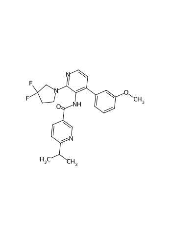 COc1cccc(-c2ccnc(N3CCC(F)(F)C3)c2NC(=O)c2ccc(C(C)C)nc2)c1